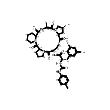 Cc1ccc(NC(=O)N[C@@H](Cc2cc(F)cc(F)c2)C(=O)N[C@H]2COC(=O)C3C[C@H](F)CN3C(=O)[C@H](C)NC(=O)C3CCCCN3C(=O)C3CCCN3C2=O)cc1